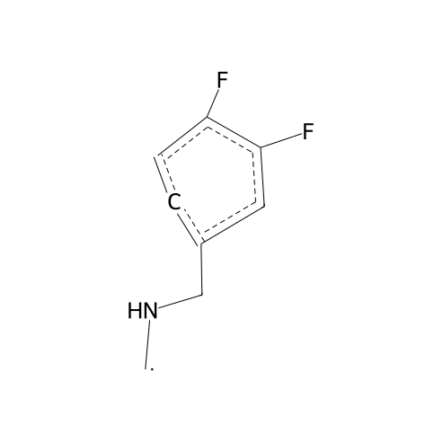 [CH2]NCc1ccc(F)c(F)c1